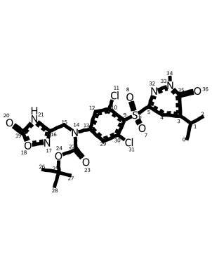 CC(C)c1cc(S(=O)(=O)c2c(Cl)cc(N(Cc3noc(=O)[nH]3)C(=O)OC(C)(C)C)cc2Cl)nn(C)c1=O